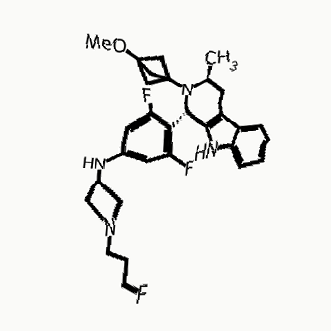 COC12CC(N3[C@@H](c4c(F)cc(NC5CN(CCCF)C5)cc4F)c4[nH]c5ccccc5c4C[C@@H]3C)(C1)C2